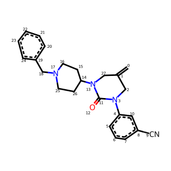 C=C1CN(c2cccc(C#N)c2)C(=O)N(C2CCN(Cc3ccccc3)CC2)C1